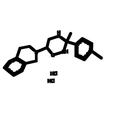 Cc1ccc(C2(C)NCC(N3CCc4ccccc4C3)ON2)cc1.Cl.Cl